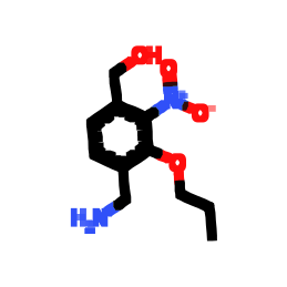 CCCOc1c(CN)ccc(CO)c1[N+](=O)[O-]